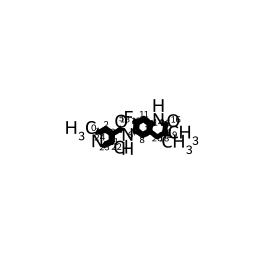 Cc1cc(C(=O)Nc2cc3c(cc2F)NC(=O)C(C)(C)C3)c(Cl)cn1